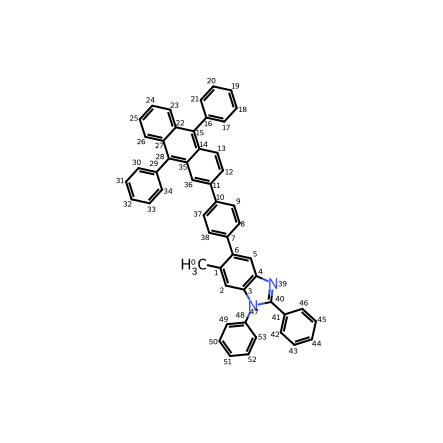 Cc1cc2c(cc1-c1ccc(-c3ccc4c(-c5ccccc5)c5ccccc5c(-c5ccccc5)c4c3)cc1)nc(-c1ccccc1)n2-c1ccccc1